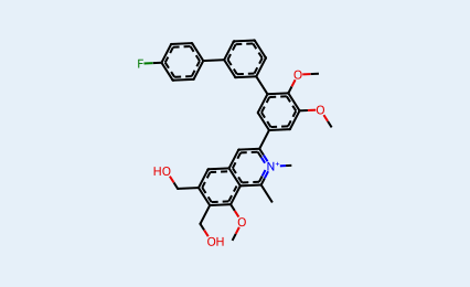 COc1cc(-c2cc3cc(CO)c(CO)c(OC)c3c(C)[n+]2C)cc(-c2cccc(-c3ccc(F)cc3)c2)c1OC